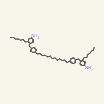 CCCCCCCc1cc(N)ccc1Cc1ccc(CCCCCCCCCCCCCc2ccc(Cc3ccc(N)cc3CCCCCCC)cc2)cc1